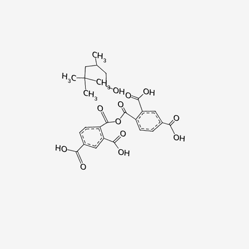 CC(CCO)CC(C)(C)C.O=C(O)c1ccc(C(=O)OC(=O)c2ccc(C(=O)O)cc2C(=O)O)c(C(=O)O)c1